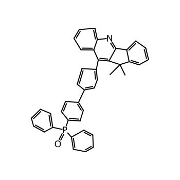 CC1(C)c2ccccc2-c2nc3ccccc3c(-c3ccc(-c4ccc(P(=O)(c5ccccc5)c5ccccc5)cc4)cc3)c21